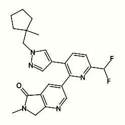 CN1Cc2ncc(-c3nc(C(F)F)ccc3-c3cnn(CC4(C)CCCC4)c3)cc2C1=O